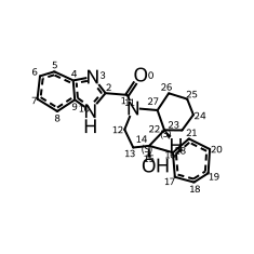 O=C(c1nc2ccccc2[nH]1)N1CC[C@@](O)(c2ccccc2)[C@H]2CCCCC21